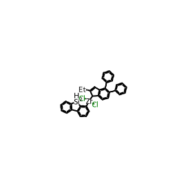 CCC1=Cc2c(ccc(-c3ccccc3)c2-c2ccccc2)[CH]1[Zr]([Cl])([Cl])[c]1cccc2c1[SiH2]c1ccccc1-2